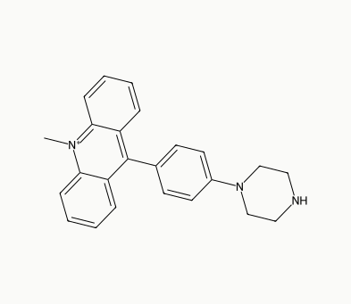 C[n+]1c2ccccc2c(-c2ccc(N3CCNCC3)cc2)c2ccccc21